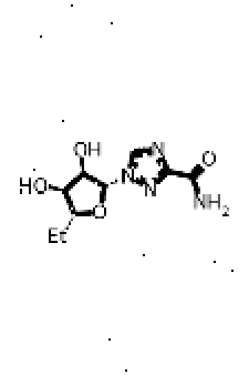 [CH2]C[C@H]1O[C@@H](n2cnc(C(N)=O)n2)[C@H](O)[C@@H]1O